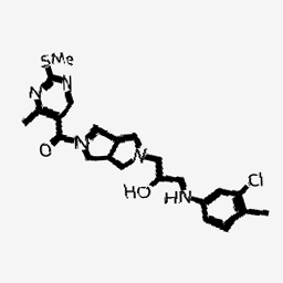 CSc1ncc(C(=O)N2CC3CN(CC(O)CNc4ccc(C)c(Cl)c4)CC3C2)c(C)n1